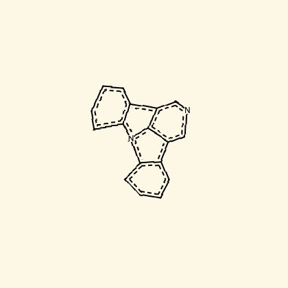 c1ccc2c(c1)c1cncc3c4ccccc4n2c13